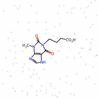 Cn1c(=O)n(CCCC(=O)O)c(=O)c2[nH]cnc21